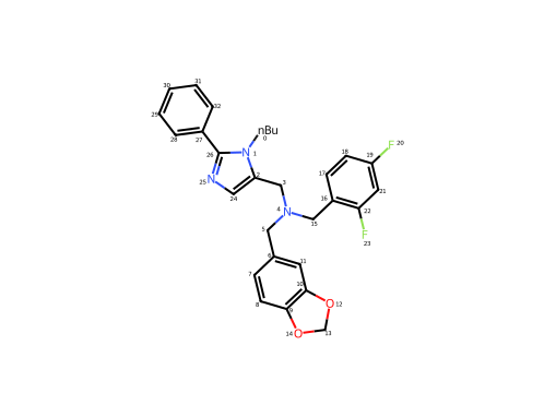 CCCCn1c(CN(Cc2ccc3c(c2)OCO3)Cc2ccc(F)cc2F)cnc1-c1ccccc1